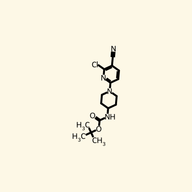 CC(C)(C)OC(=O)NC1CCN(c2ccc(C#N)c(Cl)n2)CC1